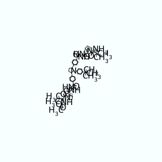 COC(=O)N[C@H](C(=O)N1CCC[C@H]1C(=O)NNC(=O)c1ccc(C2CCC(c3ccc(C(=O)NNC(=O)[C@@H]4CCCN4C(=O)[C@@H](N)C(C)C)cc3)N2c2ccc(C(C)(C)C)cc2)cc1)C(C)C